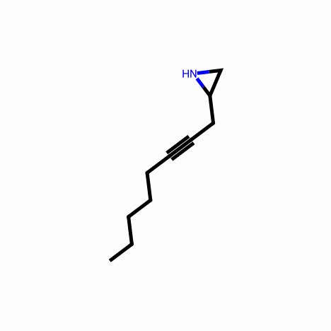 CCCCCC#CCC1CN1